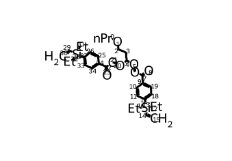 [CH2]CCOCC[C](OOC(=O)c1ccc([Si](C=C)(CC)CC)cc1)OOC(=O)c1ccc([Si](C=C)(CC)CC)cc1